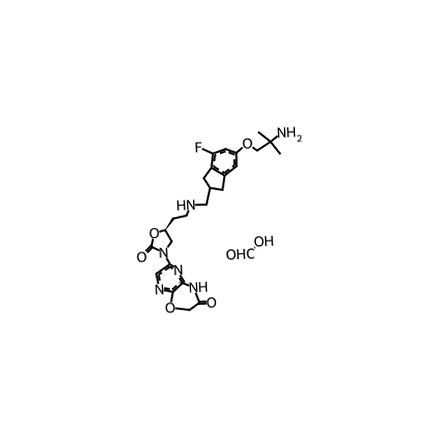 CC(C)(N)COc1cc(F)c2c(c1)CC(CNCC[C@H]1CN(c3cnc4c(n3)NC(=O)CO4)C(=O)O1)C2.O=CO